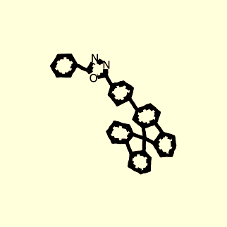 c1ccc(-c2nnc(-c3ccc(-c4ccc5c(c4)C4(c6ccccc6-c6ccccc64)c4ccccc4-5)cc3)o2)cc1